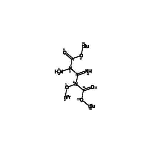 CCCON(C(=N)N(N)C(=O)OC(C)(C)C)C(=O)OC(C)(C)C